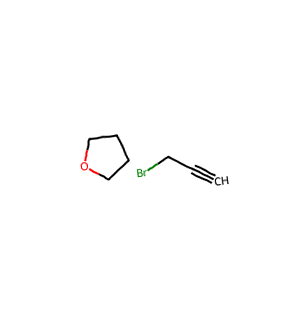 C#CCBr.C1CCOC1